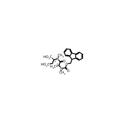 C[C@@H](C(=O)N(C)[C@@H](CC(=O)O)C(=O)O)N(C)C(=O)OCC1c2ccccc2-c2ccccc21